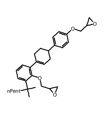 CCCCCC(C)(C)c1cccc(C2=CCC(c3ccc(OCC4CO4)cc3)CC2)c1OCC1CO1